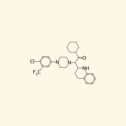 O=C(C1CCCCC1)C(C1CCc2ccccc2N1)N1CCN(c2ccc(Cl)c(C(F)(F)F)c2)CC1